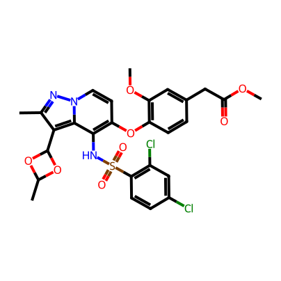 COC(=O)Cc1ccc(Oc2ccn3nc(C)c(C4OC(C)O4)c3c2NS(=O)(=O)c2ccc(Cl)cc2Cl)c(OC)c1